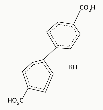 O=C(O)c1ccc(-c2ccc(C(=O)O)cc2)cc1.[KH]